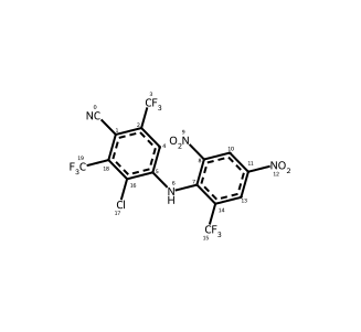 N#Cc1c(C(F)(F)F)cc(Nc2c([N+](=O)[O-])cc([N+](=O)[O-])cc2C(F)(F)F)c(Cl)c1C(F)(F)F